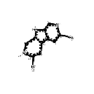 Brc1cc2c(cn1)[nH]c1cnc(Br)cc12